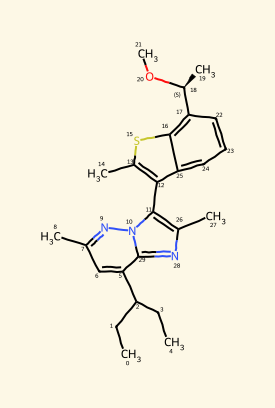 CCC(CC)c1cc(C)nn2c(-c3c(C)sc4c([C@H](C)OC)cccc34)c(C)nc12